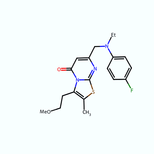 CCN(Cc1cc(=O)n2c(CCOC)c(C)sc2n1)c1ccc(F)cc1